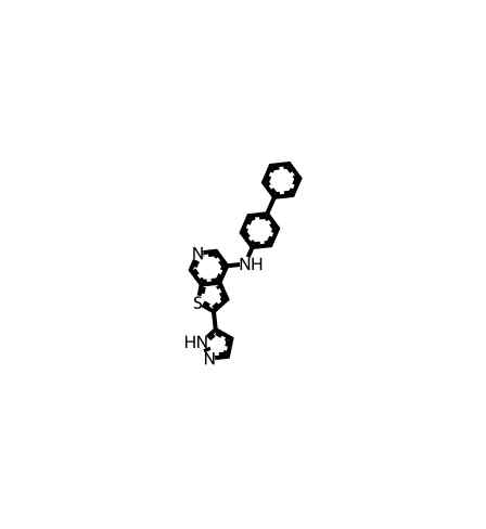 c1ccc(-c2ccc(Nc3cncc4sc(-c5ccn[nH]5)cc34)cc2)cc1